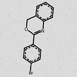 Brc1ccc(C2=Nc3ccccc3CO2)cc1